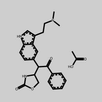 CC(=O)O.CN(C)CCc1c[nH]c2ccc(C(C(=O)c3ccccc3)C3COC(=O)N3)cc12